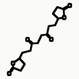 O=C(CCC(=O)CCC1CCC(=O)O1)CCC1CCC(=O)O1